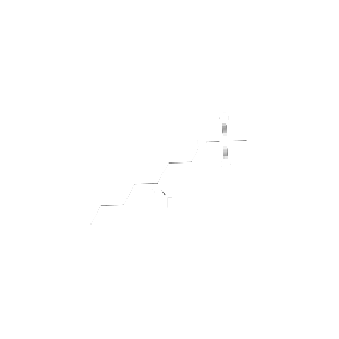 CCCC[C@H](F)CCOS(C)(=O)=O